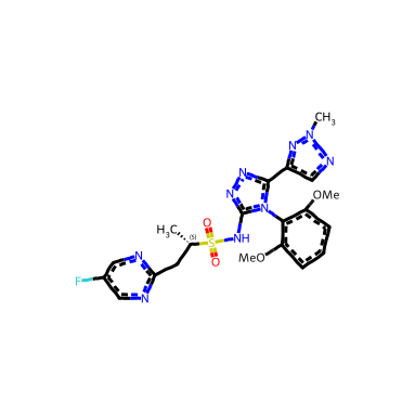 COc1cccc(OC)c1-n1c(NS(=O)(=O)[C@@H](C)Cc2ncc(F)cn2)nnc1-c1cnn(C)n1